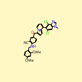 COc1ccc(CNc2ccc(C(=O)c3ccc4c(-c5c(Cl)cc6c(ncn6C)c5Cl)cccn34)cc2C#N)c(OC)c1